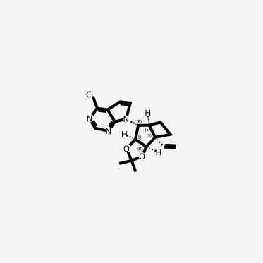 C=C[C@@]12CC[C@@H]1[C@@H](n1ccc3c(Cl)ncnc31)[C@@H]1OC(C)(C)O[C@@H]12